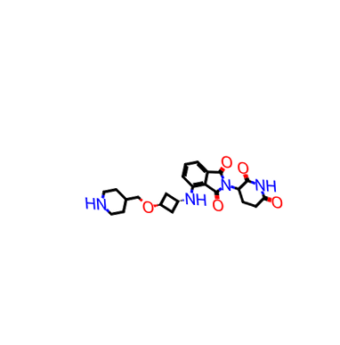 O=C1CCC(N2C(=O)c3cccc(N[C@H]4C[C@H](OCC5CCNCC5)C4)c3C2=O)C(=O)N1